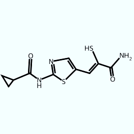 NC(=O)/C(S)=C/c1cnc(NC(=O)C2CC2)s1